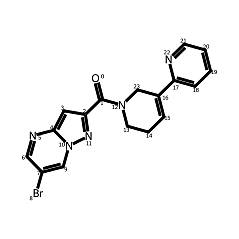 O=C(c1cc2ncc(Br)cn2n1)N1CCC=C(c2ccccn2)C1